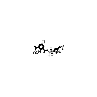 CC(C)c1cc(Cl)cc(C(C)CNS(=O)(=O)c2cc(CN(C)C)n(C)n2)c1N=C=O